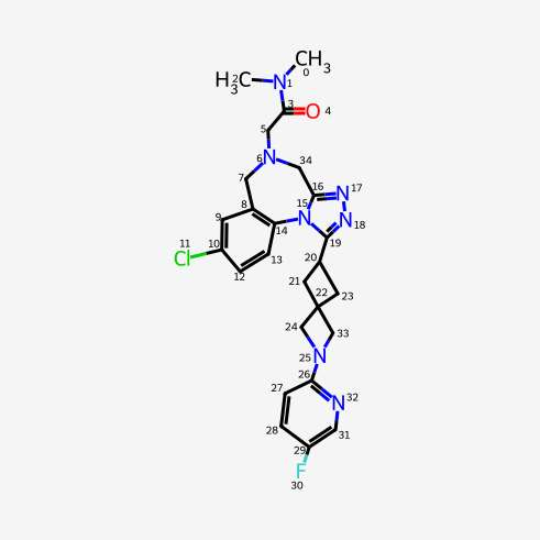 CN(C)C(=O)CN1Cc2cc(Cl)ccc2-n2c(nnc2C2CC3(C2)CN(c2ccc(F)cn2)C3)C1